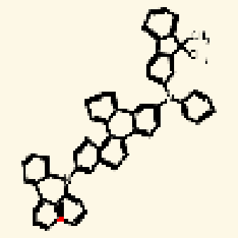 CC1(C)c2ccccc2-c2ccc(N(c3ccccc3)c3ccc4c(c3)c3ccccc3c3c5ccc(N(c6ccccc6)c6ccccc6-c6ccccc6)cc5ccc43)cc21